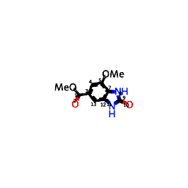 COC(=O)c1cc(OC)c2[nH]c(=O)[nH]c2c1